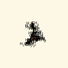 CC(=O)NC(C(=O)N[C@@H](Cc1ccc(OC(C)(C)C)cc1)C(=O)N[C@@H](CCCNC(=N)NS(=O)(=O)c1c(C)c(C)c2c(c1C)CCC(C)(C)O2)C(=O)NCC(=O)N[C@@H](CCCNC(=N)NS(=O)(=O)c1c(C)c(C)c2c(c1C)CCC(C)(C)O2)C(=O)N[C@@H](CC(C)C)C(=O)O)c1cn(C(=O)OC(C)(C)C)c2ccccc12